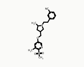 Cc1cc(OCC2CC(C)N(CCc3cccc(C#N)c3)C2)cnc1S(C)(=O)=O